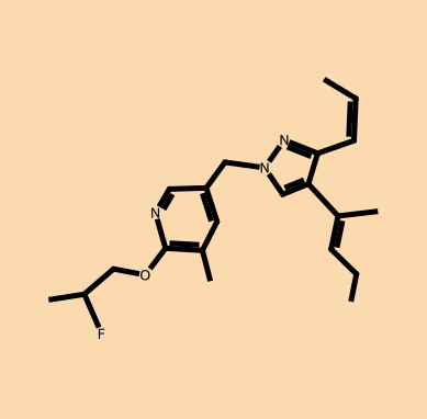 C/C=C\c1nn(Cc2cnc(OCC(C)F)c(C)c2)cc1/C(C)=C/CC